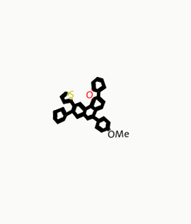 COc1ccc(-c2cc3cc(-c4ccccc4)c(-c4cccs4)cc3c3c2ccc2c4ccccc4oc23)cc1